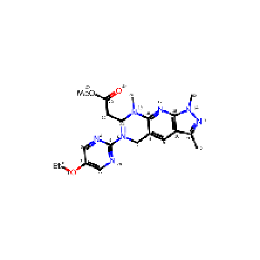 CCOc1cnc(NCc2cc3c(C)nn(C)c3nc2N(C)CCC(=O)OC)nc1